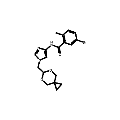 Cc1ccc(Br)cc1C(=O)Nc1cn(CC2OCC3(CC3)CO2)nn1